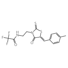 Cc1ccc(/C=C2\SC(=S)N(CCNC(=O)C(F)(F)F)C2=O)cc1